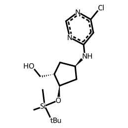 CC(C)(C)[Si](C)(C)O[C@@H]1C[C@H](Nc2cc(Cl)ncn2)C[C@H]1CO